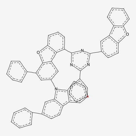 c1ccc(-c2ccc3c4ccccc4n(-c4cc(-c5ccccc5)c5oc6cccc(-c7nc(-c8ccccc8)nc(-c8ccc9oc%10ccccc%10c9c8)n7)c6c5c4)c3c2)cc1